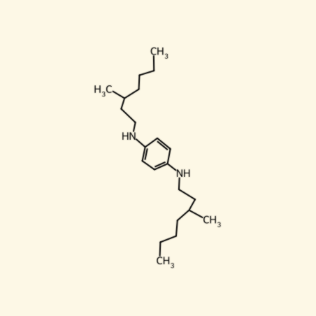 CCCCC(C)CCNc1ccc(NCCC(C)CCCC)cc1